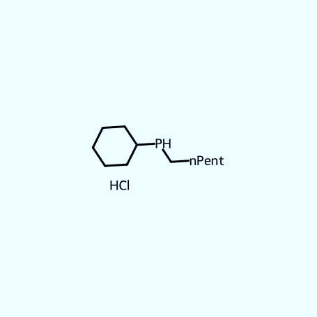 CCCCCCPC1CCCCC1.Cl